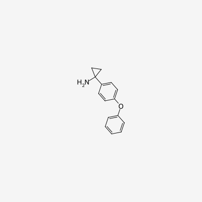 NC1(c2ccc(Oc3ccccc3)cc2)CC1